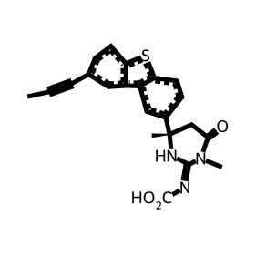 CC#Cc1ccc2sc3ccc([C@]4(C)CC(=O)N(C)C(=NC(=O)O)N4)cc3c2c1